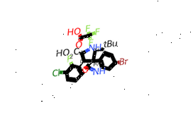 CC(C)(C)C[C@@H]1N[C@@H](C(=O)O)[C@H](c2cccc(Cl)c2F)[C@]12C(=O)Nc1cc(Br)ccc12.O=C(O)C(F)(F)F